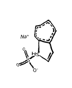 O=S(=O)([O-])[SH]1C=Cc2ccccc21.[Na+]